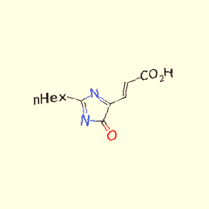 CCCCCCC1=NC(=O)C(C=CC(=O)O)=N1